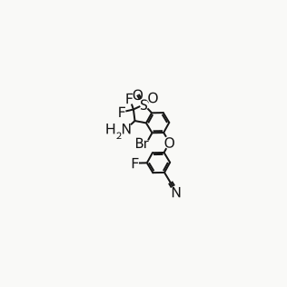 N#Cc1cc(F)cc(Oc2ccc3c(c2Br)C(N)C(F)(F)S3(=O)=O)c1